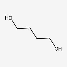 O[CH]CCCO